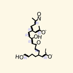 CO/C(I)=C/C(/C=C/C(=O)\C=C(O)\C=C/C(=C/C=C(\C)N=O)/C=C(\C)OC)CC/C=C/O